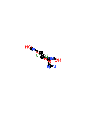 Cc1c(COc2cc(OCc3cncc(C#N)c3)c(CNC(C)(C)CO)cc2Cl)cccc1-c1cccc(OCCCN2CC[C@@H](O)C2)c1Cl